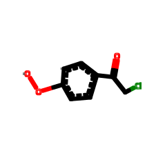 [O]Oc1[c]cc(C(=O)CCl)cc1